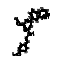 COc1ccc(CCNc2cc(-c3ccc4cc[nH]c4c3)nc(OC)n2)cc1